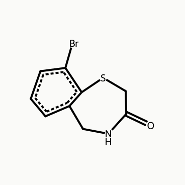 O=C1CSc2c(Br)cccc2CN1